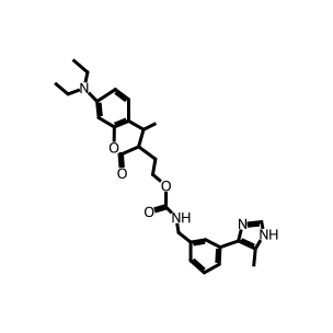 CCN(CC)c1ccc2c(c1)OC(=O)C(CCOC(=O)NCc1cccc(-c3nc[nH]c3C)c1)C2C